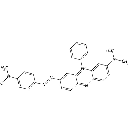 CN(C)c1ccc(/N=N/c2ccc3nc4ccc(N(C)C)cc4[n+](-c4ccccc4)c3c2)cc1